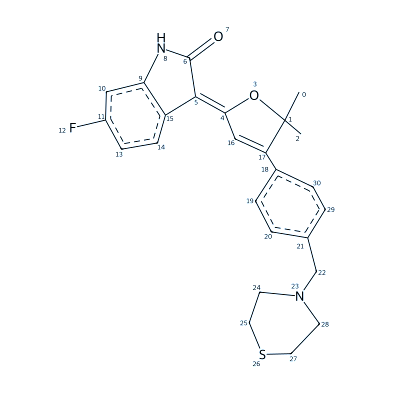 CC1(C)OC(=C2C(=O)Nc3cc(F)ccc32)C=C1c1ccc(CN2CCSCC2)cc1